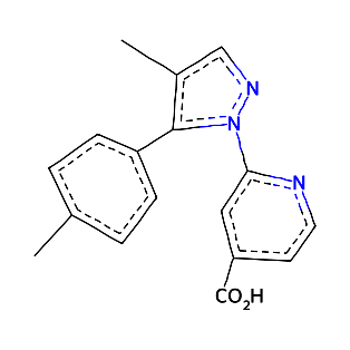 Cc1ccc(-c2c(C)cnn2-c2cc(C(=O)O)ccn2)cc1